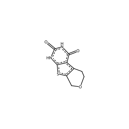 O=c1[nH]c(=O)c2c3c(sc2[nH]1)COCC3